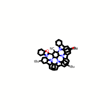 CC(C)(C)c1ccc2c(c1)c1ccccc1n2-c1c(C#N)c(-c2nc3ccccc3o2)c(-n2c3ccccc3c3cc(C(C)(C)C)ccc32)c(-n2c3ccccc3c3cc(C(C)(C)C)ccc32)c1-n1c2ccccc2c2cc(C(C)(C)C)ccc21